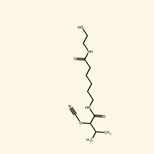 CC(C)C(OC#N)C(=O)NCCCCCC(=O)NCCO